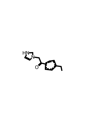 CCc1ccc(C(=O)CN2C=CNC2)cc1